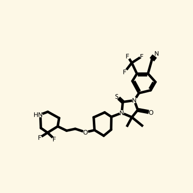 CC1(C)C(=O)N(c2ccc(C#N)c(C(F)(F)F)c2)C(=S)N1C1CCC(OCCC2CCNCC2(F)F)CC1